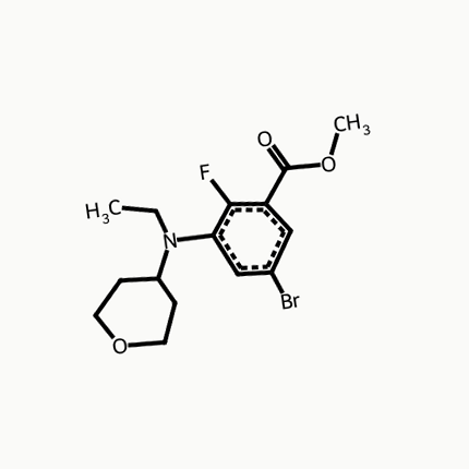 CCN(c1cc(Br)cc(C(=O)OC)c1F)C1CCOCC1